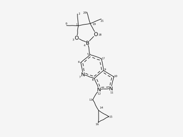 CC1(C)OB(c2cnc3c(cnn3CC3CC3)c2)OC1(C)C